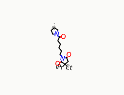 CCC1(C(C)C)CC(=O)N(CCCCCC(=O)N2CC[C@H](C)C2)C1=O